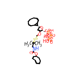 CC(C)(CNC(=O)OC1CC/C=C/CCC1)SSCOC1C[C@H](C2C3CCCCCCCC32)O[C@@H]1COP(=O)(O)OP(=O)(O)OP(=O)(O)O